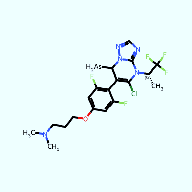 C[C@H](N1C(Cl)=C(c2c(F)cc(OCCCN(C)C)cc2F)C([AsH2])n2ncnc21)C(F)(F)F